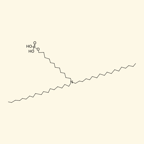 CCCCCCCCCCCCCCCCCCN(CCCCCCCCCCCCCCCCCC)CCCCCCCCCCCCOP(=O)(O)O